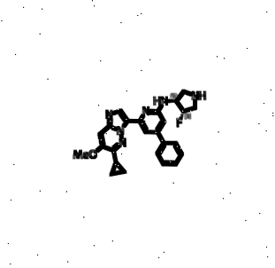 COc1cc2ncc(-c3cc(-c4ccccc4)cc(N[C@H]4CNC[C@@H]4F)n3)n2nc1C1CC1